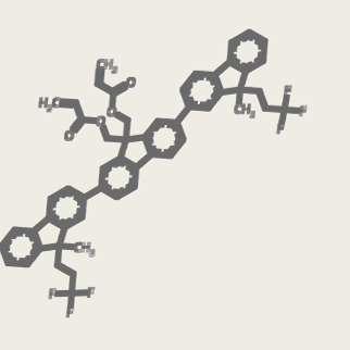 C=CC(=O)OCC1(COC(=O)C=C)c2cc(-c3ccc4c(c3)C(C)(CCC(F)(F)F)c3ccccc3-4)ccc2-c2ccc(-c3ccc4c(c3)C(C)(CCC(F)(F)F)c3ccccc3-4)cc21